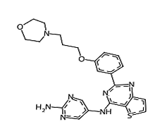 Nc1ncc(Nc2nc(-c3cccc(OCCCN4CCOCC4)c3)nc3ccsc23)cn1